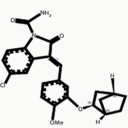 COc1ccc(/C=C2/C(=O)N(C(N)=O)c3ccc(Cl)cc32)cc1O[C@H]1C[C@@H]2CC[C@H]1C2